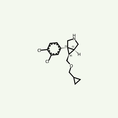 Clc1ccc([C@]23CNC[C@H]2[C@H]3COCC2CC2)cc1Cl